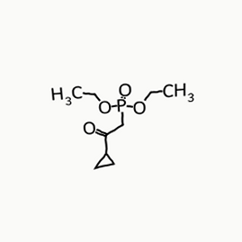 CCOP(=O)(CC(=O)C1CC1)OCC